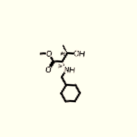 COC(=O)[C@@H](NCC1CCCCC1)[C@@H](C)O